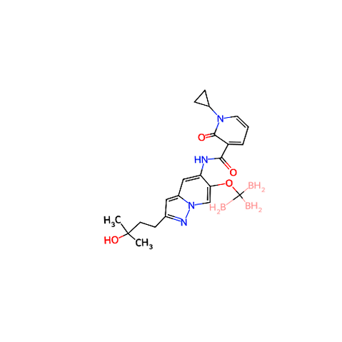 BC(B)(B)Oc1cn2nc(CCC(C)(C)O)cc2cc1NC(=O)c1cccn(C2CC2)c1=O